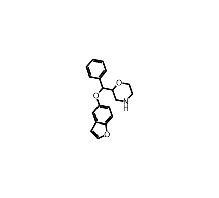 c1ccc(C(Oc2ccc3occc3c2)C2CNCCO2)cc1